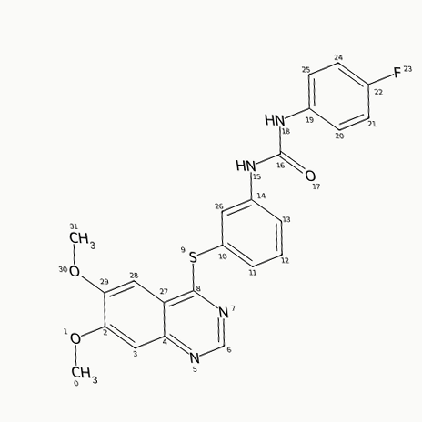 COc1cc2ncnc(Sc3cccc(NC(=O)Nc4ccc(F)cc4)c3)c2cc1OC